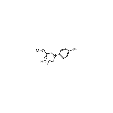 COC(=O)CN(CC(=O)O)c1ccc(C(C)C)cc1